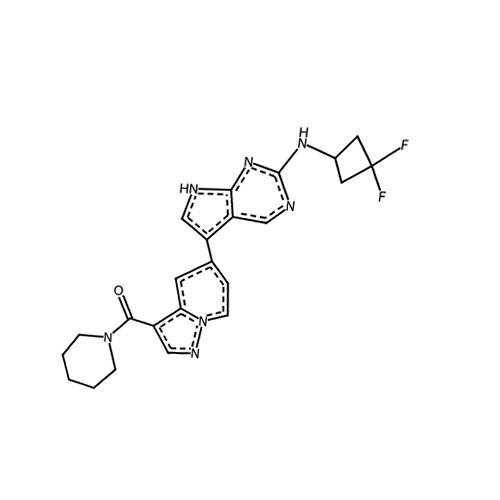 O=C(c1cnn2ccc(-c3c[nH]c4nc(NC5CC(F)(F)C5)ncc34)cc12)N1CCCCC1